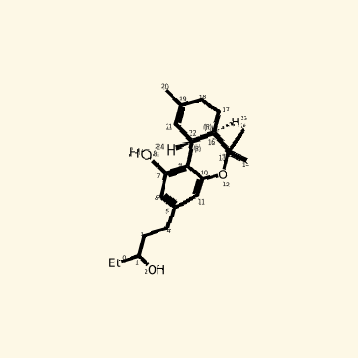 CCC(O)CCc1cc(O)c2c(c1)OC(C)(C)[C@@H]1CCC(C)=C[C@@H]21